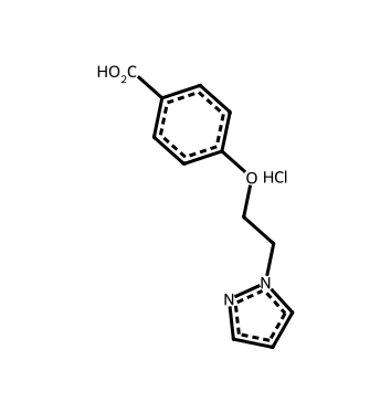 Cl.O=C(O)c1ccc(OCCn2cccn2)cc1